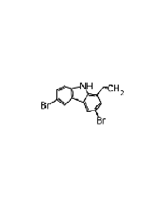 C=Cc1cc(Br)cc2c1[nH]c1ccc(Br)cc12